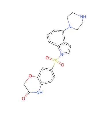 O=C1COc2cc(S(=O)(=O)n3ccc4c(N5CCNCC5)cccc43)ccc2N1